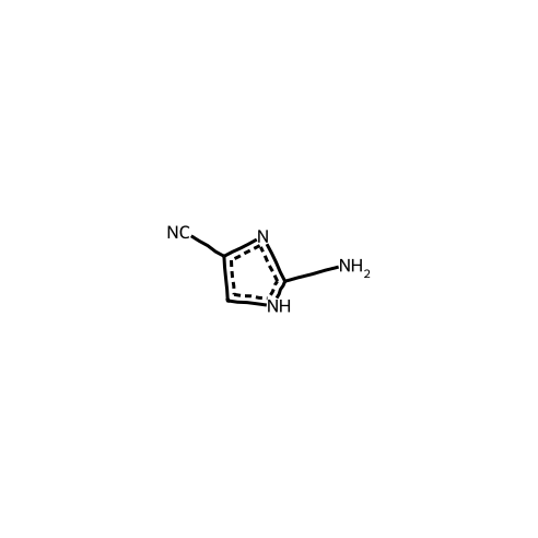 N#Cc1c[nH]c(N)n1